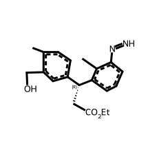 CCOC(=O)C[C@H](c1ccc(C)c(CO)c1)c1cccc(N=N)c1C